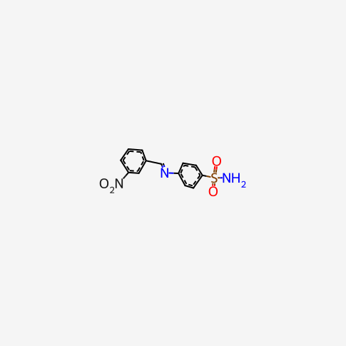 NS(=O)(=O)c1ccc(N=Cc2cccc([N+](=O)[O-])c2)cc1